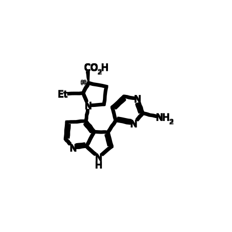 CCC1[C@@H](C(=O)O)CCN1c1ccnc2[nH]cc(-c3ccnc(N)n3)c12